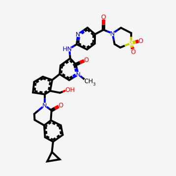 Cn1cc(-c2cccc(N3CCc4cc(C5CC5)ccc4C3=O)c2CO)cc(Nc2ccc(C(=O)N3CCS(=O)(=O)CC3)cn2)c1=O